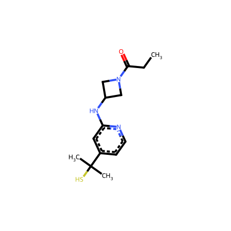 CCC(=O)N1CC(Nc2cc(C(C)(C)S)ccn2)C1